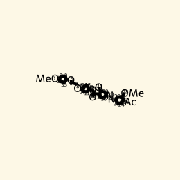 COc1ccc(OCCOc2ccc(OC(=O)c3ccc(N=Nc4ccc(C(C)=O)c(OC)c4)cc3OC)cc2)cc1